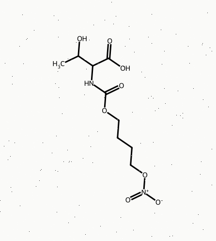 CC(O)C(NC(=O)OCCCCO[N+](=O)[O-])C(=O)O